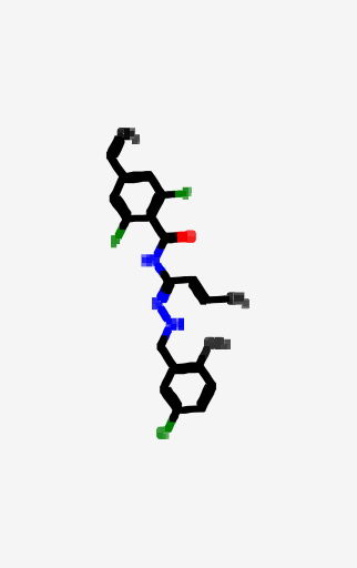 C=Cc1cc(F)c(C(=O)NC(/C=C/C)=N/NCc2cc(Cl)ccc2OCC(C)C)c(F)c1